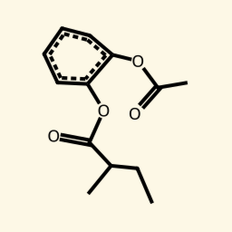 CCC(C)C(=O)Oc1ccccc1OC(C)=O